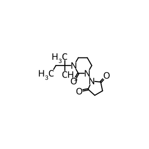 CCC(C)(C)N1CCCN(N2C(=O)CCC2=O)C1=O